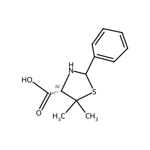 CC1(C)SC(c2ccccc2)N[C@H]1C(=O)O